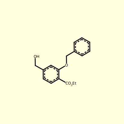 CCOC(=O)c1ccc(CO)cc1OCc1ccccc1